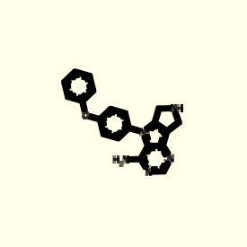 Nc1ncnc2c3c(n(-c4ccc(Oc5ccccc5)cc4)c12)CNC3